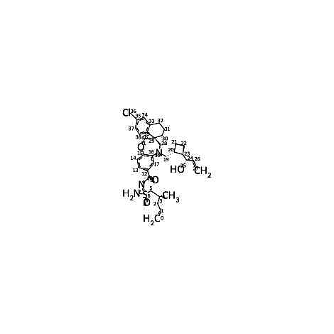 C=CC[C@H](C)CS(N)(=O)=NC(=O)c1ccc2c(c1)N(C[C@@H]1CC[C@H]1[C@@H](O)C=C)C[C@@]1(CCCc3cc(Cl)ccc31)CO2